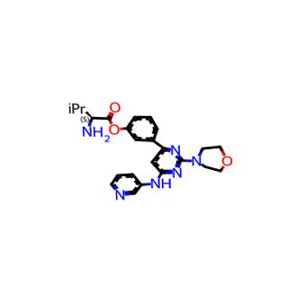 CC(C)[C@H](N)C(=O)Oc1cccc(-c2cc(Nc3cccnc3)nc(N3CCOCC3)n2)c1